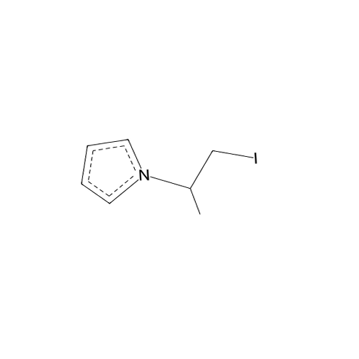 CC(CI)n1cccc1